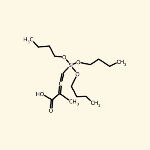 CCCCO[Si](C=C=C(C)C(=O)O)(OCCCC)OCCCC